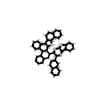 c1ccc2c(c1)CC(c1nc3sc4ccccc4c3nc1-c1ccc3ccccc3c1)c1c-2c2ccccc2c2c1sc1c3ccccc3ccc12